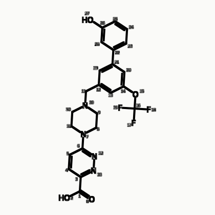 O=C(O)c1ccc(N2CCN(Cc3cc(OC(F)(F)F)cc(-c4cccc(O)c4)c3)CC2)nn1